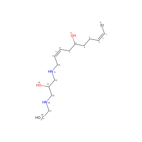 CC/C=C\CCC(O)C/C=C\CNCC(O)CNCC(=O)O